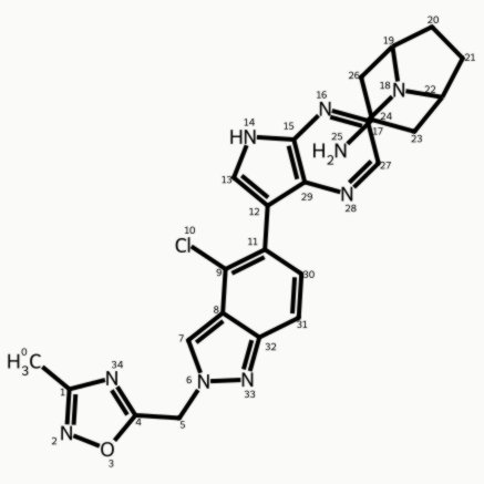 Cc1noc(Cn2cc3c(Cl)c(-c4c[nH]c5nc(N6C7CCC6CC(N)C7)cnc45)ccc3n2)n1